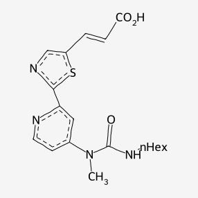 CCCCCCNC(=O)N(C)c1ccnc(-c2ncc(C=CC(=O)O)s2)c1